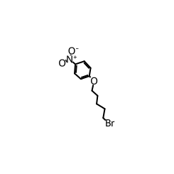 O=[N+]([O-])c1ccc(OCCCCCBr)cc1